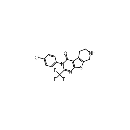 O=c1c2c3c(sc2nc(C(F)(F)F)n1-c1ccc(Cl)cc1)CNCC3